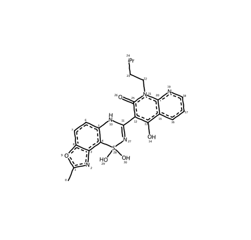 Cc1nc2c3c(ccc2o1)NC(c1c(O)c2cccnc2n(CCC(C)C)c1=O)=NS3(O)O